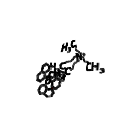 CCCC[N+](CCCC)(CCCC)CCCC.C[B-](c1cccc2ccccc12)(c1cccc2ccccc12)c1cccc2ccccc12